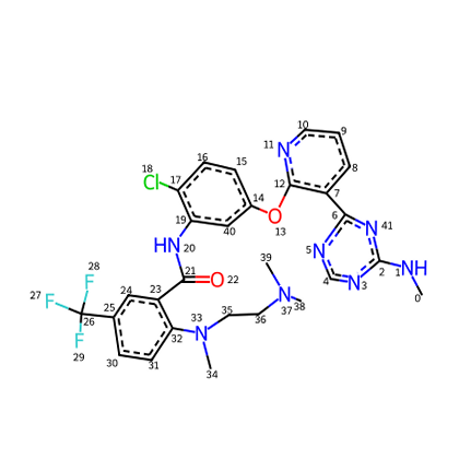 CNc1ncnc(-c2cccnc2Oc2ccc(Cl)c(NC(=O)c3cc(C(F)(F)F)ccc3N(C)CCN(C)C)c2)n1